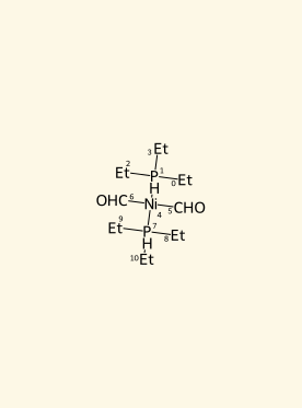 CC[PH](CC)(CC)[Ni]([CH]=O)([CH]=O)[PH](CC)(CC)CC